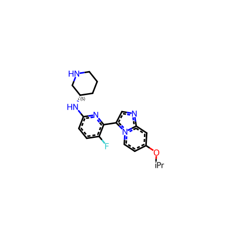 CC(C)Oc1ccn2c(-c3nc(N[C@H]4CCCNC4)ccc3F)cnc2c1